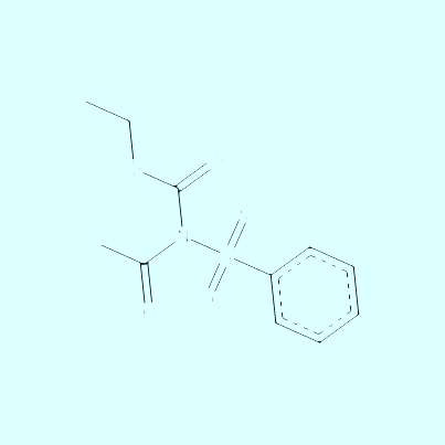 CCOC(=O)N(C(C)=O)S(=O)(=O)c1ccccc1